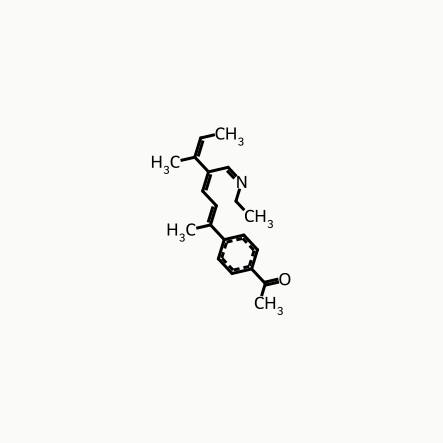 C/C=C(/C)C(=C/C=C(\C)c1ccc(C(C)=O)cc1)/C=N\CC